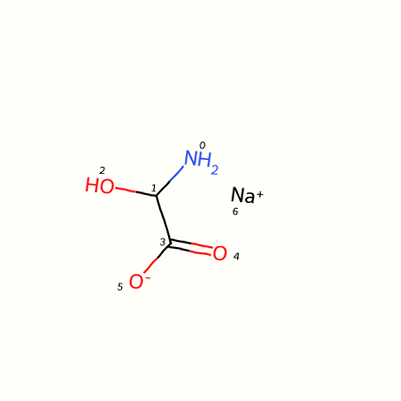 NC(O)C(=O)[O-].[Na+]